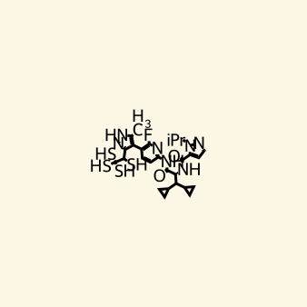 Cc1[nH]nc(C(S)C(S)(S)S)c1-c1ccc(NC(=O)[C@@H](NC(=O)c2ccnn2C(C)C)C(C2CC2)C2CC2)nc1F